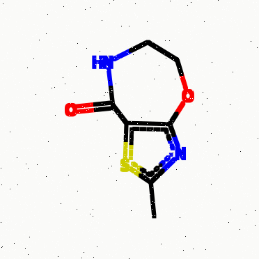 Cc1nc2c(s1)C(=O)NCCO2